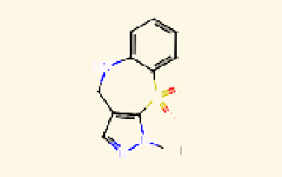 Cn1ncc2c1S(=O)(=O)c1ccccc1NC2